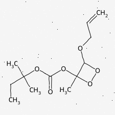 C=CCOC1OOC1(C)OC(=O)OC(C)(C)CC